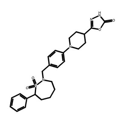 O=c1[nH]nc(C2CCN(c3ccc(CN4CCCCC(c5ccccc5)S4(=O)=O)cc3)CC2)o1